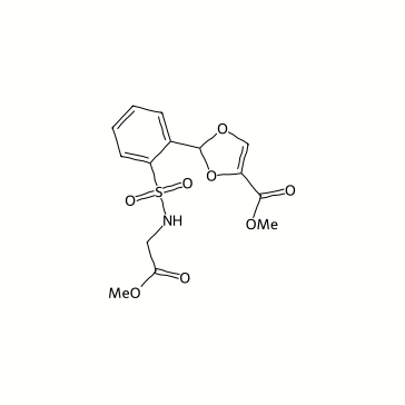 COC(=O)CNS(=O)(=O)c1ccccc1C1OC=C(C(=O)OC)O1